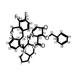 O=C1C2N(CC3CCCN13)C(=O)c1c(OCc3ccccc3)c(=O)ccn1N2[C@@H]1c2ccccc2SCc2c1ccc(F)c2F